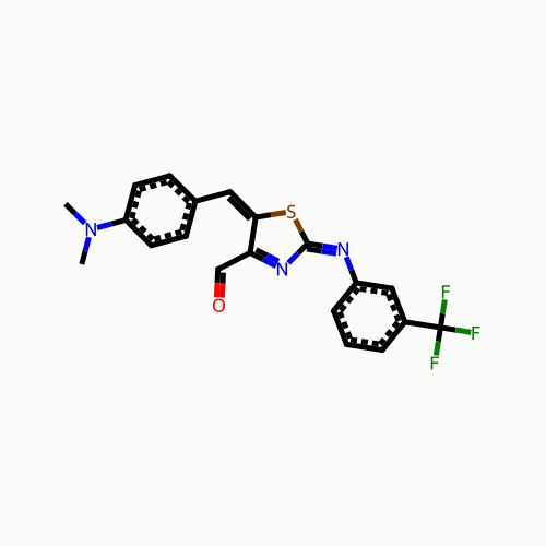 CN(C)c1ccc(C=C2SC(=Nc3cccc(C(F)(F)F)c3)N=C2C=O)cc1